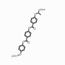 CCCCCCCCOc1ccc(OC(=O)c2ccc(OC(=O)c3ccc(OC(C)CCCCCC)cc3)cc2)cc1